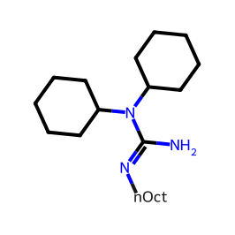 CCCCCCCCN=C(N)N(C1CCCCC1)C1CCCCC1